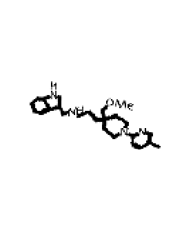 COCC1(CCCNCc2c[nH]c3ccccc23)CCN(c2ccc(C)cn2)CC1